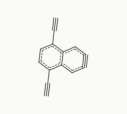 C#Cc1ccc(C#C)c2cc#ccc12